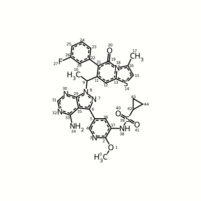 COc1ncc(-c2nn(C(C)c3cc4scc(C)n4c(=O)c3-c3cccc(F)c3)c3ncnc(N)c23)cc1NS(=O)(=O)C1CC1